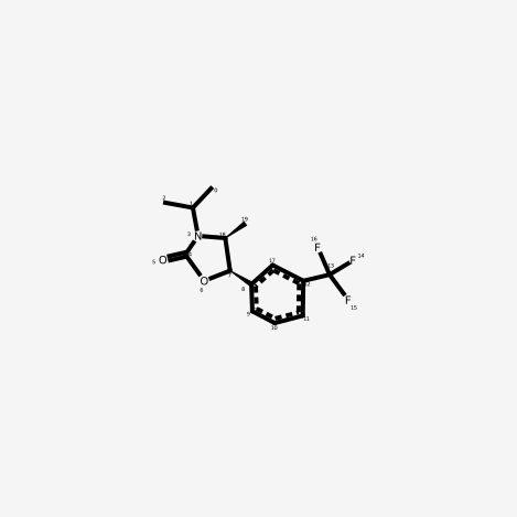 CC(C)N1C(=O)O[C@H](c2cccc(C(F)(F)F)c2)[C@@H]1C